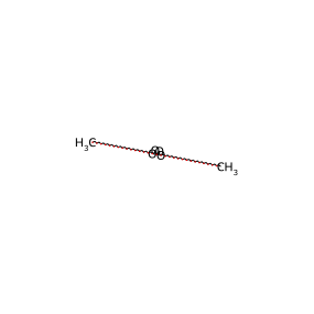 CCCCCCCCCCCCCCCCCCCCCCCCCCCCOC(=O)CC(=O)OCCCCCCCCCCCCCCCCCCCCCCCCCCCC